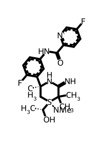 CN[S@]1([C@@H](C)O)C[C@@](C)(c2cc(NC(=O)c3ccc(F)cn3)ccc2F)NC(=N)C1(C)C